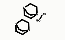 C1CN2CCN1CC2.C1CN2CCN1CC2.OO